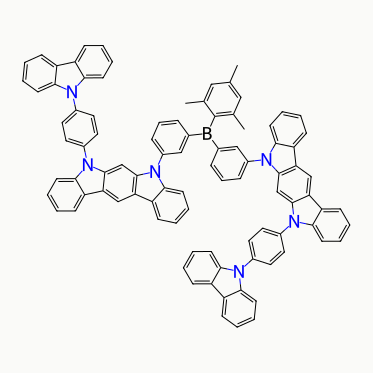 Cc1cc(C)c(B(c2cccc(-n3c4ccccc4c4cc5c6ccccc6n(-c6ccc(-n7c8ccccc8c8ccccc87)cc6)c5cc43)c2)c2cccc(-n3c4ccccc4c4cc5c6ccccc6n(-c6ccc(-n7c8ccccc8c8ccccc87)cc6)c5cc43)c2)c(C)c1